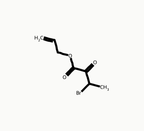 C=CCOC(=O)C(=O)C(C)Br